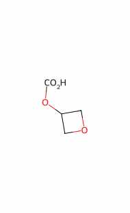 O=C(O)OC1COC1